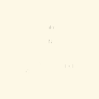 CC(C)N1CCCC(=O)C1.Cl